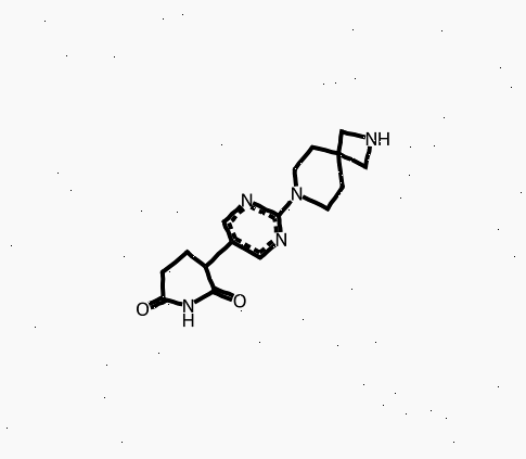 O=C1CCC(c2cnc(N3CCC4(CC3)CNC4)nc2)C(=O)N1